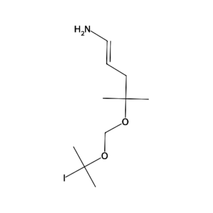 CC(C)(I)OCOC(C)(C)C/C=C/N